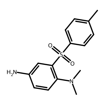 Cc1ccc(S(=O)(=O)c2cc(N)ccc2N(C)C)cc1